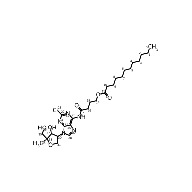 CCCCCCCCCCCC(=O)OCCCC(=O)Nc1nc(Cl)nc2c1ncn2C1CO[C@](C)(CO)[C@H]1O